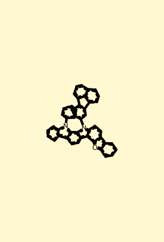 c1ccc(-n2c3ccccc3c3ccc4c5c6oc7ccccc7c6ccc5n(-c5ccc6c(c5)-c5cccc7cccc-6c57)c4c32)cc1